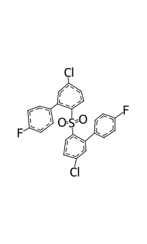 O=S(=O)(c1ccc(Cl)cc1-c1ccc(F)cc1)c1ccc(Cl)cc1-c1ccc(F)cc1